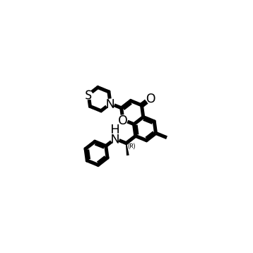 Cc1cc([C@@H](C)Nc2ccccc2)c2oc(N3CCSCC3)cc(=O)c2c1